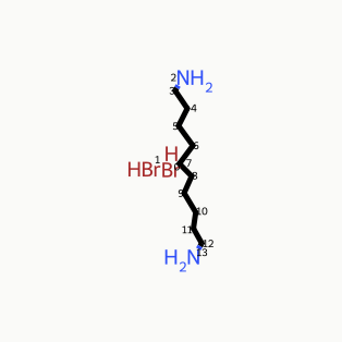 Br.Br.NCCCCCCCCCCN